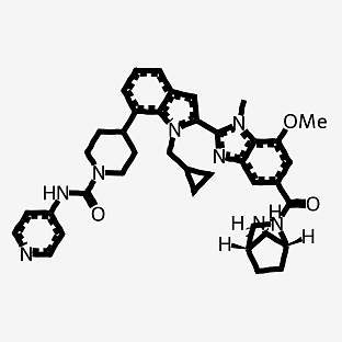 COc1cc(C(=O)N2C[C@H]3CC[C@@H]2[C@@H]3N)cc2nc(-c3cc4cccc(C5CCN(C(=O)Nc6ccncc6)CC5)c4n3CC3CC3)n(C)c12